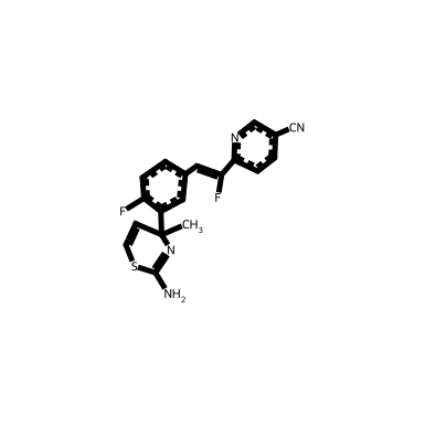 CC1(c2cc(C=C(F)c3ccc(C#N)cn3)ccc2F)C=CSC(N)=N1